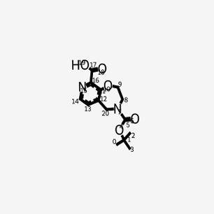 CC(C)(C)OC(=O)N1CCOc2c(ccnc2C(=O)O)C1